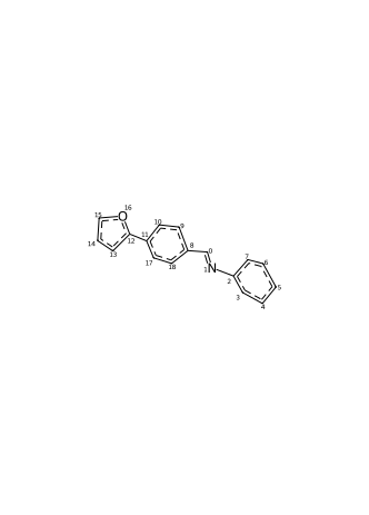 C(=Nc1ccccc1)c1ccc(-c2ccco2)cc1